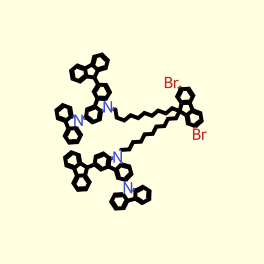 Brc1ccc2c(c1)C(CCCCCCCCCCn1c3ccc(C4c5ccccc5-c5ccccc54)cc3c3cc(-n4c5ccccc5c5ccccc54)ccc31)(CCCCCCCCCCn1c3ccc(C4c5ccccc5-c5ccccc54)cc3c3cc(-n4c5ccccc5c5ccccc54)ccc31)c1cc(Br)ccc1-2